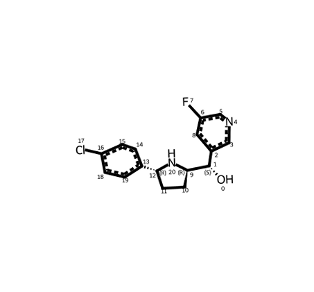 O[C@@H](c1cncc(F)c1)[C@H]1CC[C@H](c2ccc(Cl)cc2)N1